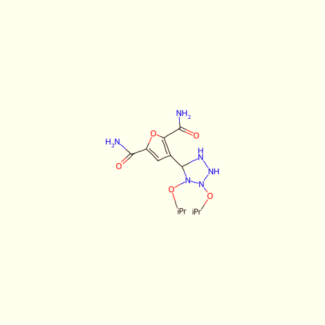 CC(C)ON1NNC(c2cc(C(N)=O)oc2C(N)=O)N1OC(C)C